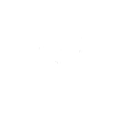 CC(=O)c1ccc(C(O)C(N)CC2CCCCC2)o1